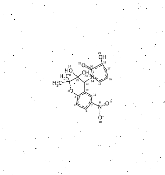 CC1(C)Oc2ccc([N+](=O)[O-])cc2C(n2cccc(O)c2=O)C1(C)O